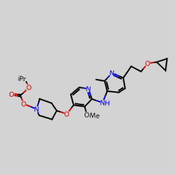 COc1c(OC2CCN(OC(=O)OC(C)C)CC2)ccnc1Nc1ccc(CCOC2CC2)nc1C